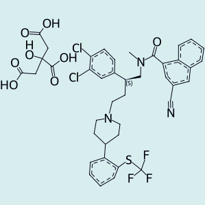 CN(C[C@@H](CCN1CCC(c2ccccc2SC(F)(F)F)CC1)c1ccc(Cl)c(Cl)c1)C(=O)c1cc(C#N)cc2ccccc12.O=C(O)CC(O)(CC(=O)O)C(=O)O